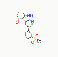 CCS(=O)(=O)c1cccc(-c2cnc3[nH]c4c(c3c2)C(=O)CCC4)c1